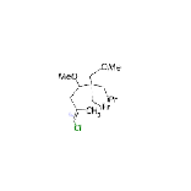 COCC(CC(C)C)(CC(C)C)C(C/C(C)=C/Cl)OC